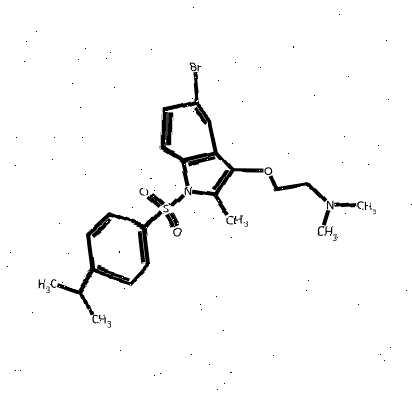 Cc1c(OCCN(C)C)c2cc(Br)ccc2n1S(=O)(=O)c1ccc(C(C)C)cc1